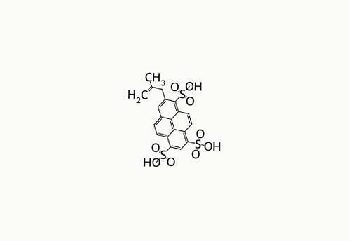 C=C(C)Cc1cc2ccc3c(S(=O)(=O)O)cc(S(=O)(=O)O)c4ccc(c1S(=O)(=O)O)c2c34